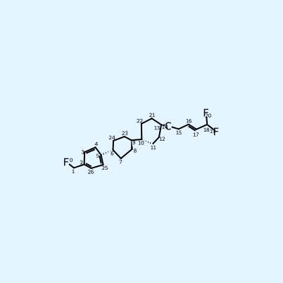 FCc1ccc([C@H]2CC[C@H]([C@H]3CC[C@H](CCC=CC(F)F)CC3)CC2)cc1